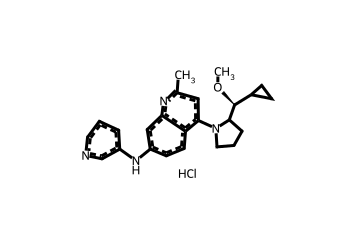 CO[C@@H](C1CC1)C1CCCN1c1cc(C)nc2cc(Nc3cccnc3)ccc12.Cl